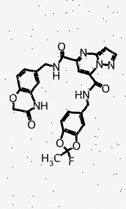 CC1(F)Oc2ccc(CNC(=O)c3cc(C(=O)NCc4ccc5c(c4)NC(=O)CO5)nc4ccnn34)cc2O1